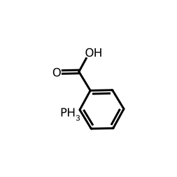 O=C(O)c1ccccc1.P